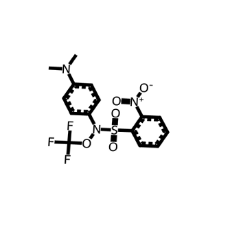 CN(C)c1ccc(N(OC(F)(F)F)S(=O)(=O)c2ccccc2[N+](=O)[O-])cc1